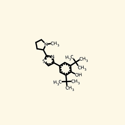 CN1CCCC1c1nc(-c2cc(C(C)(C)C)c(O)c(C(C)(C)C)c2)cs1